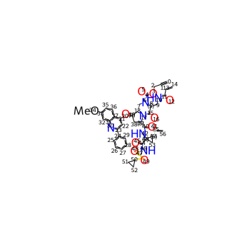 C#CCOC(=O)N(C)[C@@H](CNC(=O)C=C)C(=O)N1C[C@H](Oc2cc(-c3ccccc3)nc3cc(OC)ccc23)C[C@H]1C(=O)N[C@]1(C(=O)NS(=O)(=O)C2CC2)C[C@H]1C=C